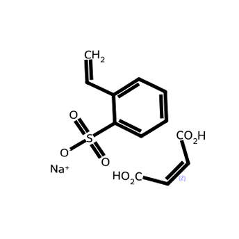 C=Cc1ccccc1S(=O)(=O)[O-].O=C(O)/C=C\C(=O)O.[Na+]